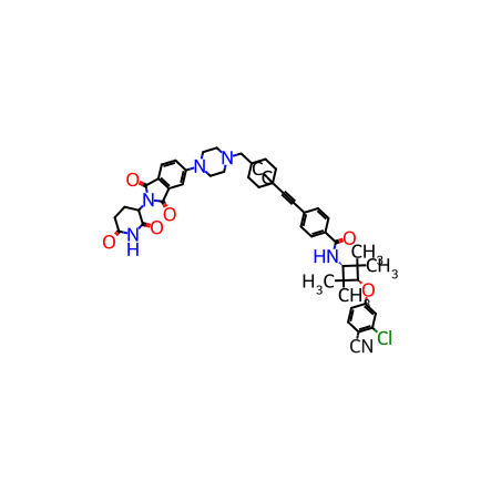 CC1(C)[C@H](NC(=O)c2ccc(C#CC34CCC(CN5CCN(c6ccc7c(c6)C(=O)N(C6CCC(=O)NC6=O)C7=O)CC5)(CC3)CC4)cc2)C(C)(C)[C@H]1Oc1ccc(C#N)c(Cl)c1